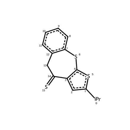 CC(C)c1cc2c(s1)Sc1ccccc1CC2=S